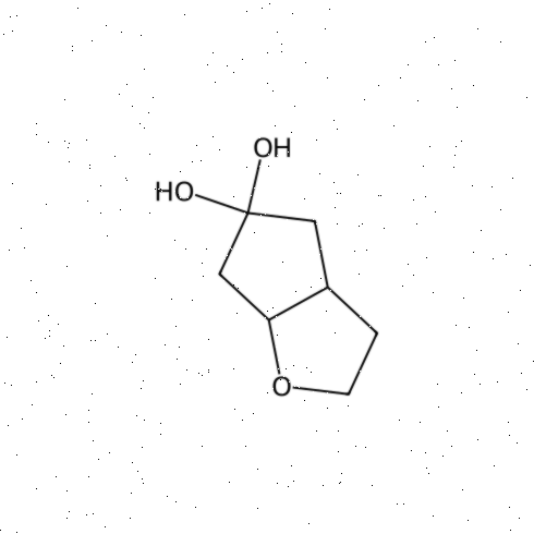 OC1(O)CC2CCOC2C1